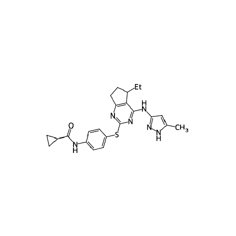 CCC1CCc2nc(Sc3ccc(NC(=O)C4CC4)cc3)nc(Nc3cc(C)[nH]n3)c21